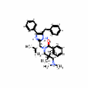 CC(C)[C@H](c1nc(-c2ccccc2)c(Cc2ccccc2)[nH]1)N(CC(C)(C)CN(C)C)C(=O)c1ccccc1